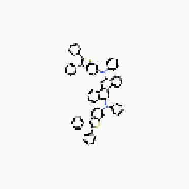 c1ccc(-c2sc3cc(N(c4ccccc4)c4cc5c6ccccc6c(N(c6ccccc6)c6ccc7c(-c8ccccc8)c(-c8ccccc8)sc7c6)cc5c5ccccc45)ccc3c2-c2ccccc2)cc1